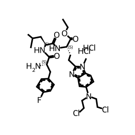 CCOC(=O)[C@H](CCc1nc2cc(N(CCCl)CCCl)ccc2n1C)NC(=O)[C@H](CC(C)C)NC(=O)[C@@H](N)Cc1ccc(F)cc1.Cl.Cl